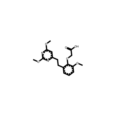 COc1cc(CCc2cccc(OC)c2OCC(=O)O)nc(OC)n1